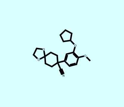 COc1ccc(C2(C#N)CCC3(CC2)OCCO3)cc1OC1CCCC1